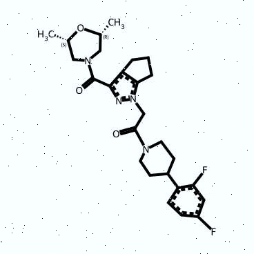 C[C@@H]1CN(C(=O)c2nn(CC(=O)N3CCC(c4ccc(F)cc4F)CC3)c3c2CCC3)C[C@H](C)O1